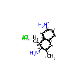 Cc1cc2ccc(N)cc2c(C)c1N.Cl.Cl